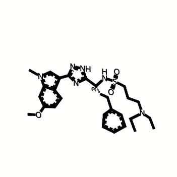 CCN(CC)CCCS(=O)(=O)N[C@H](CCc1ccccc1)c1nc(-c2cn(C)c3cc(OC)ccc23)n[nH]1